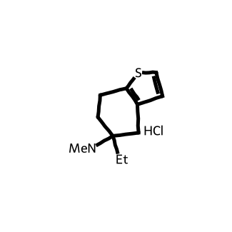 CCC1(NC)CCc2sccc2C1.Cl